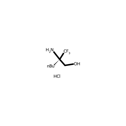 CCCC[C@@](N)(CO)C(F)(F)F.Cl